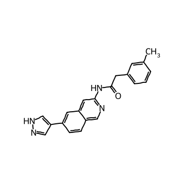 Cc1cccc(CC(=O)Nc2cc3cc(-c4cn[nH]c4)ccc3cn2)c1